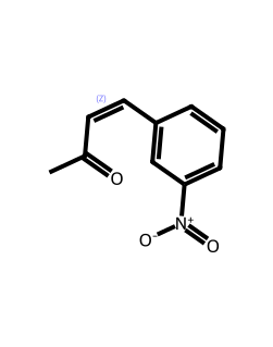 CC(=O)/C=C\c1cccc([N+](=O)[O-])c1